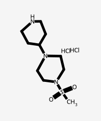 CS(=O)(=O)N1CCN(C2CCNCC2)CC1.Cl.Cl